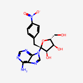 Nc1ncnc2c1ncn2[C@]1(Cc2ccc([N+](=O)[O-])cc2)O[C@H](CO)[C@@H](O)[C@H]1O